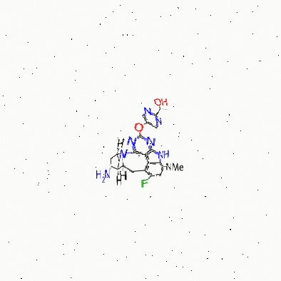 CNc1cc(F)c2c3c1[nH]c1nc(Oc4cnc([C@@H](C)O)nc4)nc(c13)N1[C@@H]3C[C@@H]([C@H](N)C3)[C@@H]1C2